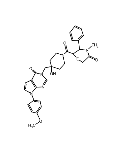 COc1ccc(-n2ccc3c(=O)n(CC4(O)CCN(C(=O)C5CCC(=O)N(C)C5c5ccccc5)CC4)cnc32)cc1